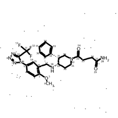 COc1ccc(-n2nnnc2C(F)(F)F)cc1CN[C@H]1CCN(C(=O)CCC(N)=O)C[C@H]1c1ccccc1